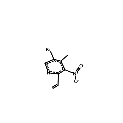 C=Cc1ncc(Br)c(C)c1[N+](=O)[O-]